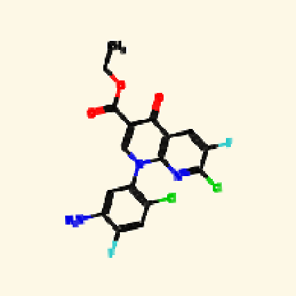 CCOC(=O)c1cn(-c2cc(N)c(F)cc2Cl)c2nc(Cl)c(F)cc2c1=O